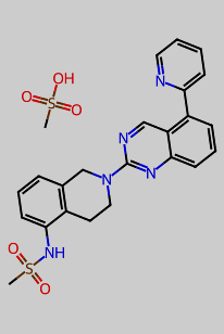 CS(=O)(=O)Nc1cccc2c1CCN(c1ncc3c(-c4ccccn4)cccc3n1)C2.CS(=O)(=O)O